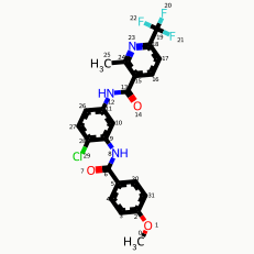 COc1ccc(C(=O)Nc2cc(NC(=O)c3ccc(C(F)(F)F)nc3C)ccc2Cl)cc1